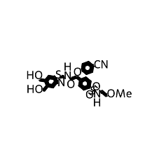 COCCNS(=O)(=O)c1ccc(C(Oc2ccc(C#N)cc2)C(=O)Nc2nc3cc(CO)c(CO)cc3s2)cc1